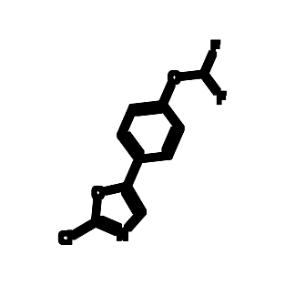 FC(F)Oc1ccc(-c2cnc(Cl)o2)cc1